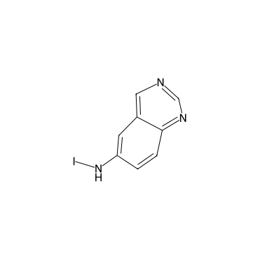 INc1ccc2ncncc2c1